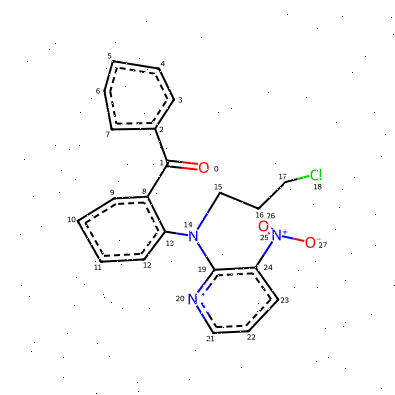 O=C(c1ccccc1)c1ccccc1N(CCCCl)c1ncccc1[N+](=O)[O-]